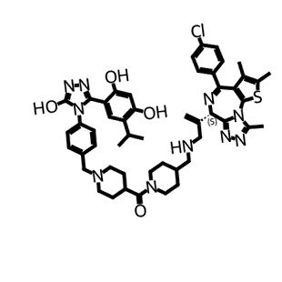 C=C(CNCC1CCN(C(=O)C2CCN(Cc3ccc(-n4c(O)nnc4-c4cc(C(C)C)c(O)cc4O)cc3)CC2)CC1)[C@@H]1N=C(c2ccc(Cl)cc2)c2c(sc(C)c2C)-n2c(C)nnc21